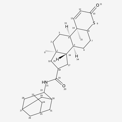 C[C@]12CC[C@@H]3[C@@H](CCC4SC(=O)C=C[C@@]43C)[C@@H]1CC(C(=O)NC1C3CC4CC(C3)CC1C4)C2